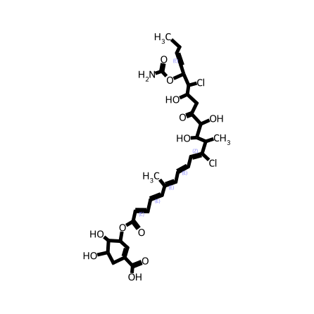 CC/C=C/C(OC(N)=O)C(Cl)C(O)CC(=O)C(O)C(O)C(C)/C(Cl)=C/C=C/C=C(C)/C=C/C=C/C(=O)OC1C=C(C(=O)O)CC(O)C1O